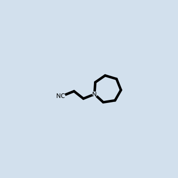 N#CCCN1CCCCCC1